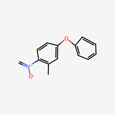 C=[N+]([O-])c1ccc(Oc2ccccc2)cc1C